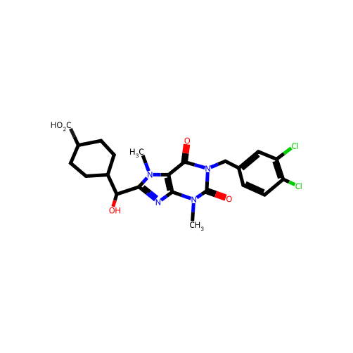 Cn1c(C(O)C2CCC(C(=O)O)CC2)nc2c1c(=O)n(Cc1ccc(Cl)c(Cl)c1)c(=O)n2C